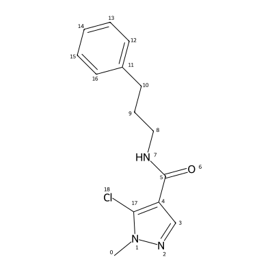 Cn1ncc(C(=O)NCCCc2ccccc2)c1Cl